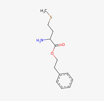 CSCCC(N)C(=O)OCCc1ccccc1